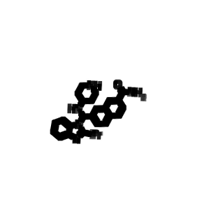 CC(C)c1nc2ccccc2n1C(NC1CCNCC1)c1ccc2ccc(C(N)=O)cc2c1